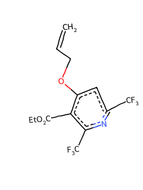 C=CCOc1cc(C(F)(F)F)nc(C(F)(F)F)c1C(=O)OCC